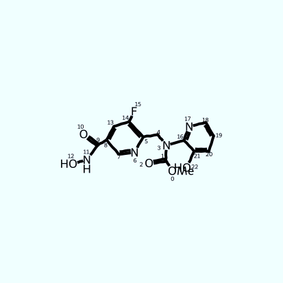 COC(=O)N(Cc1ncc(C(=O)NO)cc1F)c1ncccc1O